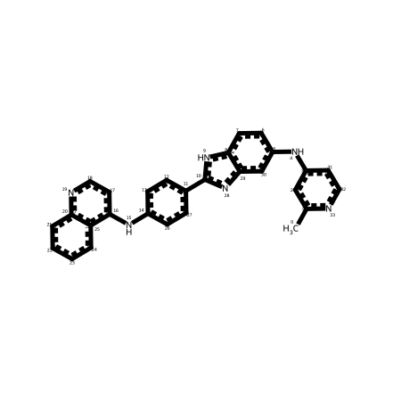 Cc1cc(Nc2ccc3[nH]c(-c4ccc(Nc5ccnc6ccccc56)cc4)nc3c2)ccn1